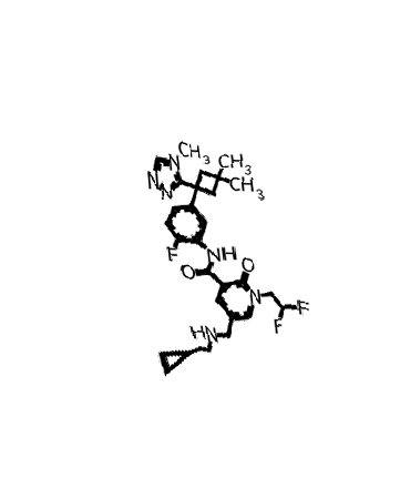 Cn1cnnc1C1(c2ccc(F)c(NC(=O)c3cc(CNCC4CC4)cn(CC(F)F)c3=O)c2)CC(C)(C)C1